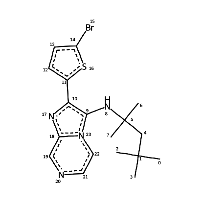 CC(C)(C)CC(C)(C)Nc1c(-c2ccc(Br)s2)nc2cnccn12